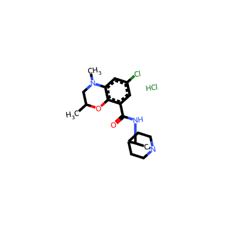 CC1CN(C)c2cc(Cl)cc(C(=O)NC3CN4CCC3CC4)c2O1.Cl